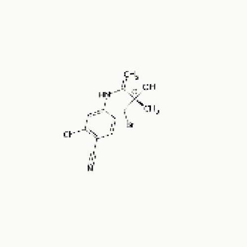 C=C(Nc1ccc(C#N)c(Cl)c1)[C@](C)(O)CBr